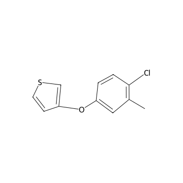 Cc1cc(Oc2ccsc2)ccc1Cl